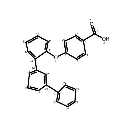 O=C(O)c1ccc(Oc2ccccc2-c2cccc(-c3ccccc3)c2)cc1